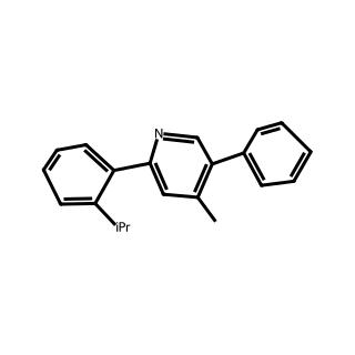 Cc1cc(-c2ccccc2C(C)C)ncc1-c1ccccc1